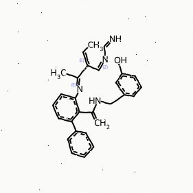 C=C(NCc1cccc(O)c1)c1c(/N=C(C)/C(/C=N\C=N)=C/C)cccc1-c1ccccc1